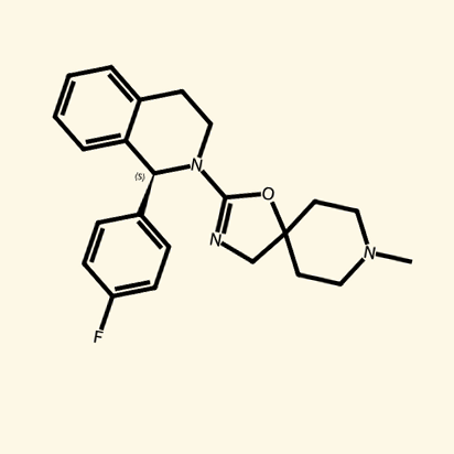 CN1CCC2(CC1)CN=C(N1CCc3ccccc3[C@@H]1c1ccc(F)cc1)O2